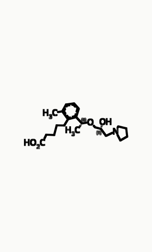 Cc1cccc([C@@H](C)OC[C@H](O)CN2CCCC2)c1CCCCC(=O)O